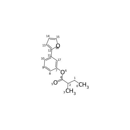 CCC(C)C(=O)Oc1cccc(-c2ccco2)c1